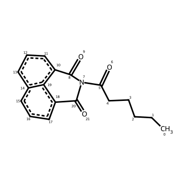 CCCCCC(=O)N1C(=O)c2cccc3cccc(c23)C1=O